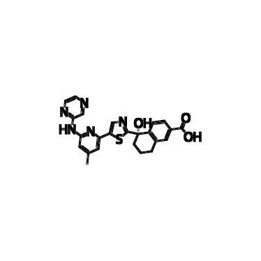 Cc1cc(Nc2cnccn2)nc(-c2cnc([C@]3(O)CCCc4cc(C(=O)O)ccc43)s2)c1